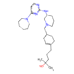 CC(C)(O)CCCC1=CCC(CN2CCCC(Nc3nccc(N4CCCCCC4)n3)C2)CC1